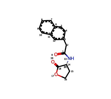 O=C(Cc1ccc2ccccc2c1)N[C@@H]1CCOC1=O